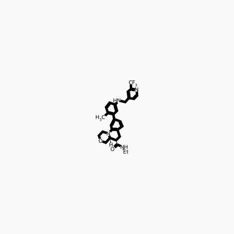 CCNC(=O)[C@H]1Cc2ccc(-c3cc(NCc4ccnc(C(F)(F)F)c4)ccc3C)cc2N2CCOC[C@H]12